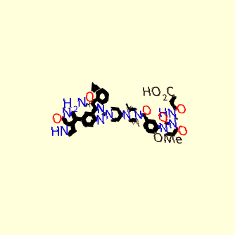 COc1ccc(C(=O)N2C[C@H](C)N(C3CCN(c4nc([C@@](CN)(OC5CC5)c5ccccc5)c5cc(-c6cn(C)c(=O)c7[nH]ccc67)ccc5n4)CC3)C[C@H]2C)cc1N1CCC(=O)N(CNC(=O)CCC(=O)O)C1=O